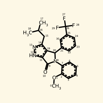 COc1ccccc1N1C(=O)c2[nH]nc(CC(C)C)c2C1c1cccc(C(F)(F)F)c1